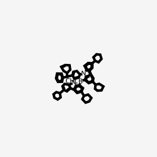 CC(C1=CCC2C3=C1N1c4c(cc(C5CCCCC5)cc4C4=CC(C5CCCCC5)=CCC41)B3c1cc(C3CCCCC3)cc3c4cc(C5CCCCC5)ccc4n2c13)(c1ccccc1)C1CC=CCC1